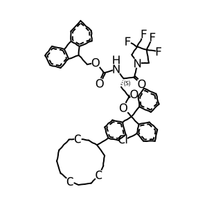 O=C(C[C@H](NC(=O)OCC1c2ccccc2-c2ccccc21)C(=O)N1CC(F)(F)C(F)(F)C1)OC(c1ccccc1)(c1ccc(C2CCCCCCCCCCCC2)cc1)c1ccccc1Cl